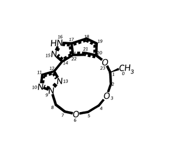 C[C@H]1COCCOCCn2ncc(n2)-c2n[nH]c3ccc(cc23)O1